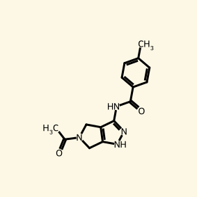 CC(=O)N1Cc2[nH]nc(NC(=O)c3ccc(C)cc3)c2C1